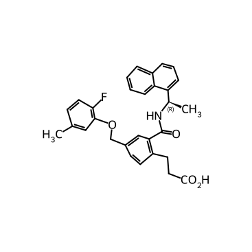 Cc1ccc(F)c(OCc2ccc(CCC(=O)O)c(C(=O)N[C@H](C)c3cccc4ccccc34)c2)c1